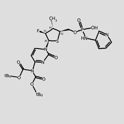 C[C@H]1[C@H](F)[C@H](n2ccc(N(C(=O)OC(C)(C)C)C(=O)OC(C)(C)C)nc2=O)S[C@@H]1COP(=O)(O)Nc1cccnc1